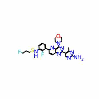 Cc1nc(N)ncc1-c1nc(N2CCOCC2)c2nc(-c3cccc(NSCCCF)c3F)ccc2n1